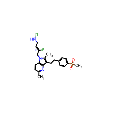 Cc1ccc2c(n1)c(CCc1ccc(S(C)(=O)=O)cc1)c(C)n2C/C(F)=C/CNCl